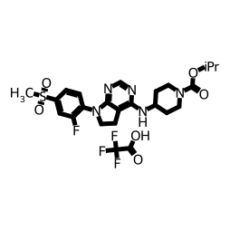 CC(C)OC(=O)N1CCC(Nc2ncnc3c2CCN3c2ccc(S(C)(=O)=O)cc2F)CC1.O=C(O)C(F)(F)F